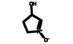 [O-][N+]1=CC(O)CC1